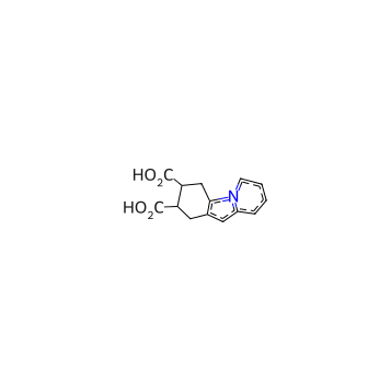 O=C(O)C1Cc2cc3ccccn3c2CC1C(=O)O